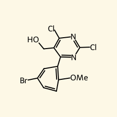 COc1ccc(Br)cc1-c1nc(Cl)nc(Cl)c1CO